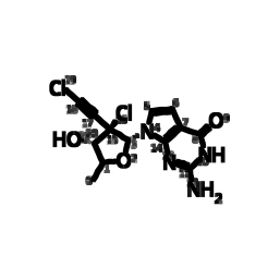 CC1O[C@@H](n2ccc3c(=O)[nH]c(N)nc32)[C@@](Cl)(C#CCl)[C@H]1O